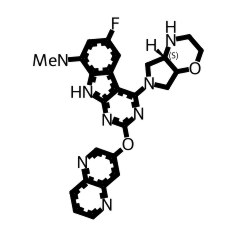 CNc1cc(F)cc2c1[nH]c1nc(Oc3cnc4cccnc4c3)nc(N3CC4OCCN[C@H]4C3)c12